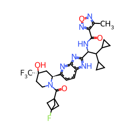 Cc1nonc1C(=O)N[C@H](c1nc2nc([C@@H]3C[C@@](O)(C(F)(F)F)CCN3C(=O)C34CC(F)(C3)C4)ccc2[nH]1)C(C1CC1)C1CC1